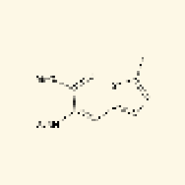 COC(=O)C(=Cc1ccc(C)s1)NC(C)=O